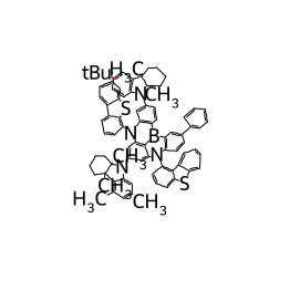 Cc1cc(C)c2c(c1)N(c1cc3c4c(c1)N(c1cccc5sc6ccccc6c15)c1ccc(-c5ccccc5)cc1B4c1ccc(N4c5ccc(C(C)(C)C)cc5C5(C)CCCCC45C)cc1N3c1cccc3c1sc1ccccc13)C1(C)CCCCC21C